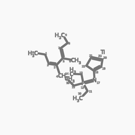 CCC=C(C)C(C)=CCC.CCP(CC)(CC)=NC1=CC=CC1.[Ti]